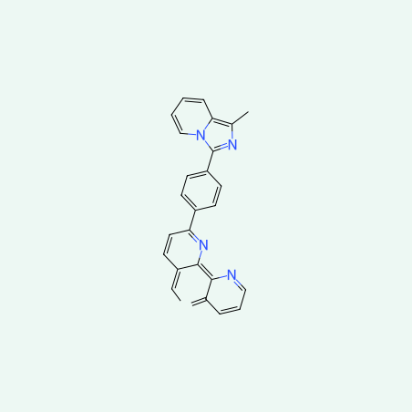 C=c1cccn/c1=c1\nc(-c2ccc(-c3nc(C)c4ccccn34)cc2)cc\c1=C\C